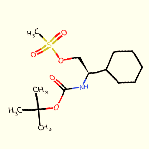 CC(C)(C)OC(=O)N[C@@H](COS(C)(=O)=O)C1CCCCC1